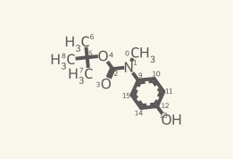 CN(C(=O)OC(C)(C)C)c1ccc(O)cc1